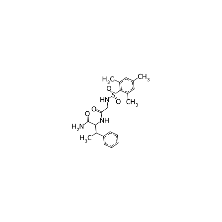 Cc1cc(C)c(S(=O)(=O)NCC(=O)NC(C(N)=O)C(C)c2ccccc2)c(C)c1